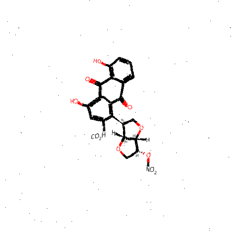 O=C(O)c1cc(O)c2c(c1[C@H]1CO[C@H]3[C@@H]1OC[C@H]3O[N+](=O)[O-])C(=O)c1cccc(O)c1C2=O